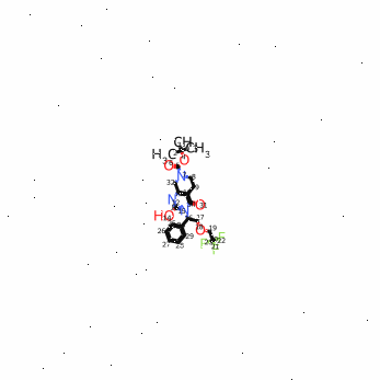 CC(C)(C)OC(=O)N1CCc2c(nc(O)n(C(COCC(F)(F)F)c3ccccc3)c2=O)C1